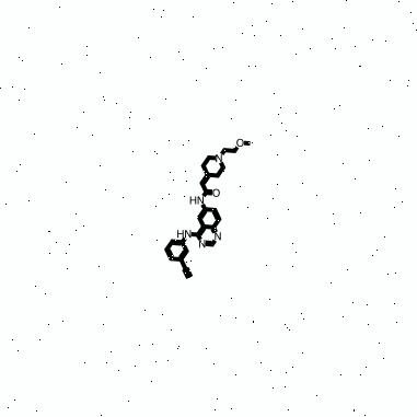 C#Cc1cccc(Nc2ncnc3ccc(NC(=O)C=C4CCN(CCOC)CC4)cc23)c1